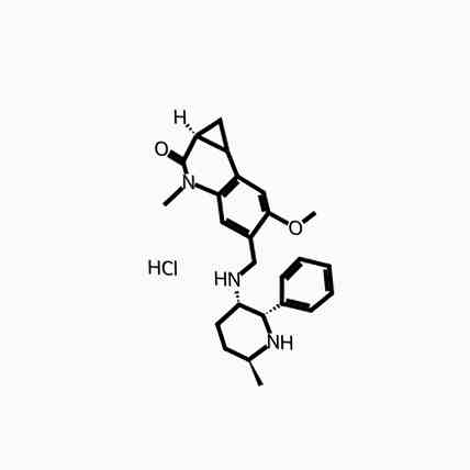 COc1cc2c(cc1CN[C@H]1CC[C@H](C)N[C@H]1c1ccccc1)N(C)C(=O)[C@H]1CC21.Cl